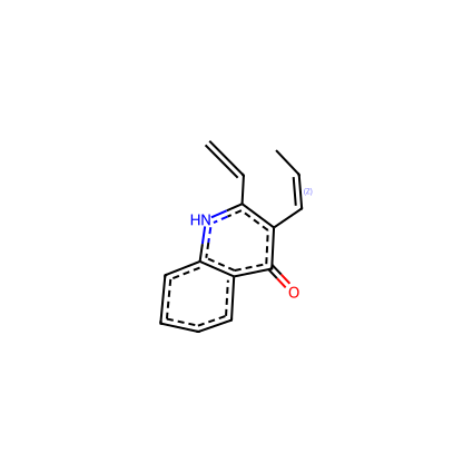 C=Cc1[nH]c2ccccc2c(=O)c1/C=C\C